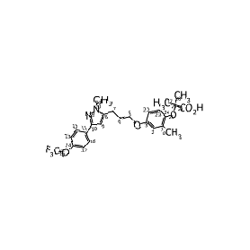 Cc1cc(OCCCc2cc(-c3ccc(OC(F)(F)F)cc3)nn2C)ccc1OC(C)(C)C(=O)O